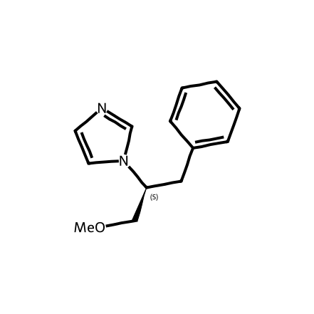 COC[C@H](Cc1ccccc1)n1ccnc1